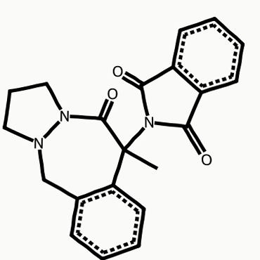 CC1(N2C(=O)c3ccccc3C2=O)C(=O)N2CCCN2Cc2ccccc21